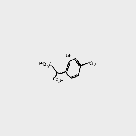 CC(C)(C)c1ccc(C(C(=O)O)C(=O)O)cc1.[LiH]